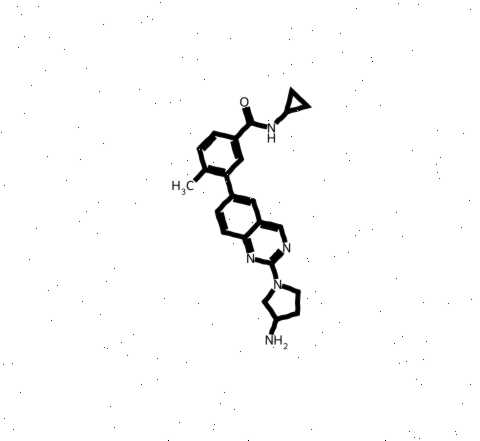 Cc1ccc(C(=O)NC2CC2)cc1-c1ccc2nc(N3CCC(N)C3)ncc2c1